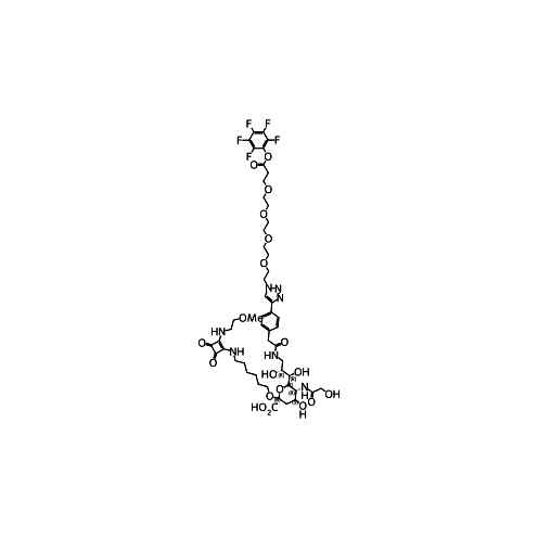 COCCNc1c(NCCCCCCO[C@]2(C(=O)O)C[C@H](O)[C@@H](NC(=O)CO)[C@H]([C@H](O)[C@H](O)CNC(=O)Cc3ccc(-c4cn(CCOCCOCCOCCOCCC(=O)Oc5c(F)c(F)c(F)c(F)c5F)nn4)cc3)O2)c(=O)c1=O